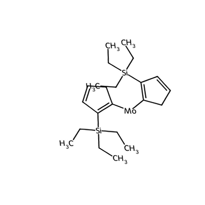 CC[Si](CC)(CC)C1=[C]([Mo][C]2=C([Si](CC)(CC)CC)C=CC2)CC=C1